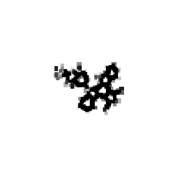 CC1(C)O[C@H]2C=CC(n3c4ccccc4c4c5c(c6c7ccccc7[nH]c6c43)C(=O)NC5=O)C[C@H]2O1